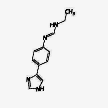 CCNC=Nc1ccc(-c2c[nH]cn2)cc1